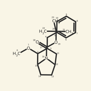 COC1C(Cc2ccccc2)CC2CCC1N2C(=O)OC(C)(C)C